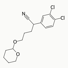 N#CC(CCCOC1CCCCO1)c1ccc(Cl)c(Cl)c1